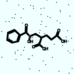 O=C(O)CCC(CN(O)C(=O)c1ccccc1)C(=O)O